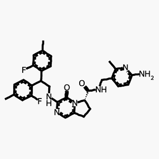 Cc1ccc(C(CNc2ncc3n(c2=O)[C@H](C(=O)NCc2ccc(N)nc2C)CC3)c2ccc(C)cc2F)c(F)c1